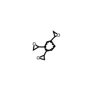 c1cc(C2CO2)c(C2CO2)cc1C1CO1